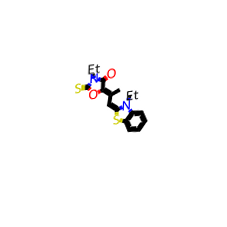 CCN1C(=O)C(=C(C)C=C2Sc3ccccc3N2CC)OC1=S